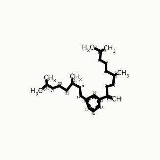 [CH]=C(CCC(C)CCCC(C)C)c1[c]ccc(CCC(C)CCCC(C)C)c1